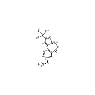 NCc1ccc2c(c1)OCCn1cc(C(F)(F)F)nc1-2